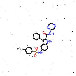 CC(C)(C)c1ccc(S(=O)(=O)Nc2ccc3[nH]c(C(=O)Nc4cnccn4)c(-c4ccccc4)c3c2)cc1